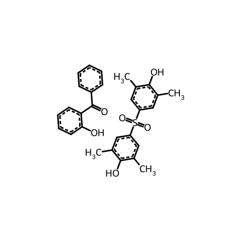 Cc1cc(S(=O)(=O)c2cc(C)c(O)c(C)c2)cc(C)c1O.O=C(c1ccccc1)c1ccccc1O